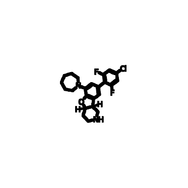 Fc1cc(Cl)cc(F)c1-c1cc2c(c(N3CCCCCC3)c1)O[C@H]1CCNC[C@@H]21